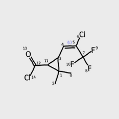 CC1(C)C(/C=C(/Cl)C(F)(F)F)C1C(=O)Cl